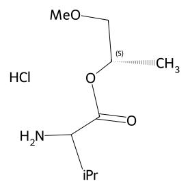 COC[C@H](C)OC(=O)C(N)C(C)C.Cl